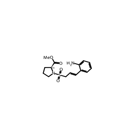 COC(=O)[C@@H]1CCCN1S(=O)(=O)CC=Cc1ccccc1N